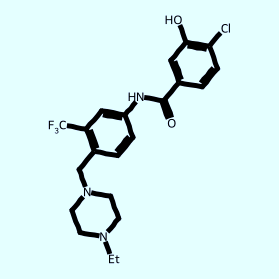 CCN1CCN(Cc2ccc(NC(=O)c3ccc(Cl)c(O)c3)cc2C(F)(F)F)CC1